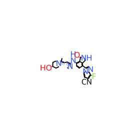 C=N/C(=C\C=C(/C)N1CCC(O)CC1)Nc1ccc(-c2cnc3c(F)c(C#N)ccn23)c2c1C(=O)NC2